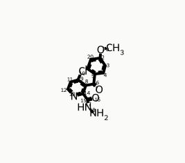 COc1ccc(C(=O)c2c(Cl)ccnc2C(=O)NN)cc1